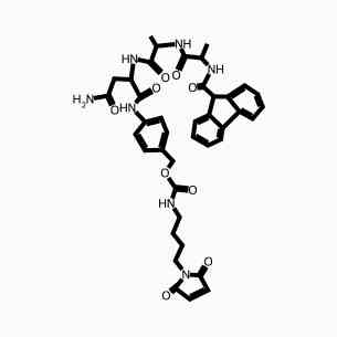 CC(NC(=O)C(C)NC(=O)C1c2ccccc2-c2ccccc21)C(=O)NC(CC(N)=O)C(=O)Nc1ccc(COC(=O)NCCCCN2C(=O)C=CC2=O)cc1